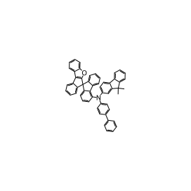 CC1(C)c2ccccc2-c2ccc(N(c3ccc(-c4ccccc4)cc3)c3cccc4c3-c3ccccc3C43c4ccccc4-c4c3oc3ccccc43)cc21